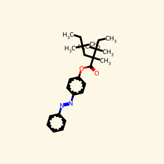 CCC(C)(C)CC(C)(C(=O)Oc1ccc(/N=N/c2ccccc2)cc1)C(C)(C)CC